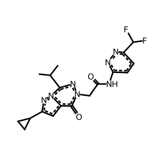 CC(C)c1nn(CC(=O)Nc2ccc(C(F)F)nn2)c(=O)c2cc(C3CC3)nn12